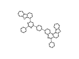 c1ccc(-c2nc(-c3ccc(-c4ccc5c(c4)nc(-c4ccccc4)c4ccc6sc7ccccc7c6c45)cc3)cc(-c3cccc4c3oc3ccccc34)n2)cc1